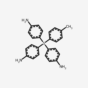 Cc1ccc(S(c2ccc(N)cc2)(c2ccc(N)cc2)c2ccc(N)cc2)cc1